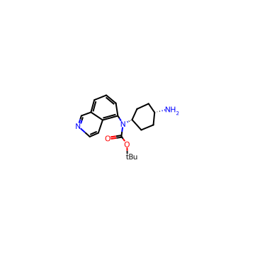 CC(C)(C)OC(=O)N(c1cccc2cnccc12)[C@H]1CC[C@@H](N)CC1